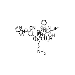 CC(C)C[C@H](N)C(O)CC(=O)N(C(=O)C(N)Cc1ccccc1)C(C(=O)O)(C(=O)CCCCN)[C@@H](C(=O)c1ccc(On2nnc3cccnc32)c(C#N)c1)C(C)C